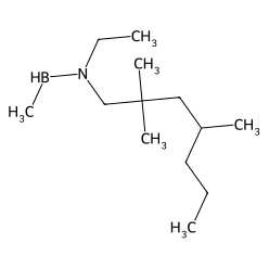 CBN(CC)CC(C)(C)CC(C)CCC